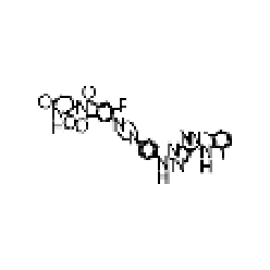 Cc1cccc(C)c1Nc1nn(C)c2nc(Nc3ccc(N4CCN(c5cc6c(cc5F)C(=O)N(C5CCC(=O)NC5=O)C6=O)CC4)cc3)ncc12